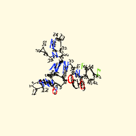 COc1cc(C(=O)N2CC3CCC2[C@@H]3N)cc2nc(-c3cc4cccnc4n3CC3CC3)n(CC3CN(C(=O)c4ccc(F)cc4F)C3)c12